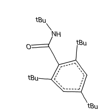 CC(C)(C)NC(=O)c1c(C(C)(C)C)cc(C(C)(C)C)cc1C(C)(C)C